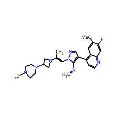 C=Nc1c(-c2ccnc3cc(F)c(OC)cc23)cnn1/C=C(\C)N1CC(N2CCN(C)CC2)C1